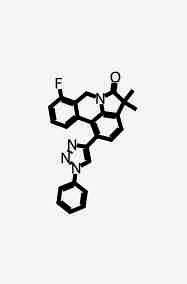 CC1(C)C(=O)N2Cc3c(F)cccc3-c3c(-c4cn(-c5ccccc5)nn4)ccc1c32